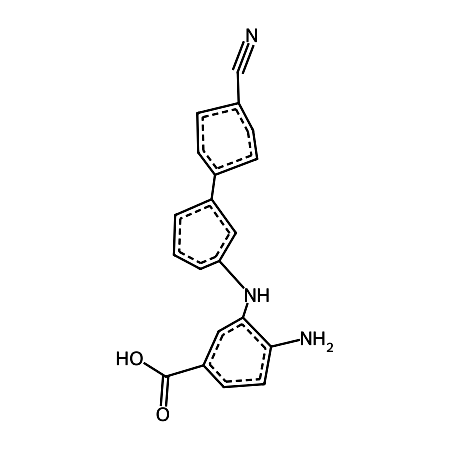 N#Cc1ccc(-c2cccc(Nc3cc(C(=O)O)ccc3N)c2)cc1